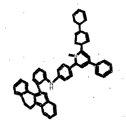 CN1C(C2C=CC(C3C=CC=CC3)=CC2)=CC(c2ccccc2)=CC1c1ccc(Nc2ccccc2-c2cc3ccccc3c3c2-c2ccccc2CC3)cc1